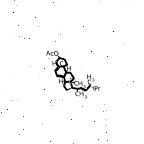 CC(=O)O[C@H]1CC[C@@]2(C)C(=CC=C3[C@@H]4CC[C@H]([C@H](C)/C=C/[C@H](C)C(C)C)[C@@]4(C)CC[C@@H]32)C1